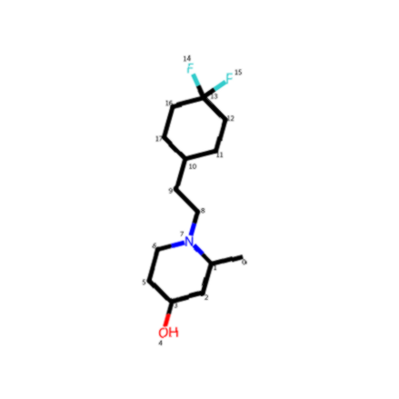 CC1CC(O)CCN1CCC1CCC(F)(F)CC1